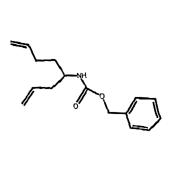 C=CCCC(CC=C)NC(=O)OCc1ccccc1